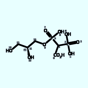 O=C(O)C(P(=O)(O)O)P(=O)(O)OC[C@@H](O)CO